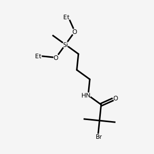 CCO[Si](C)(CCCNC(=O)C(C)(C)Br)OCC